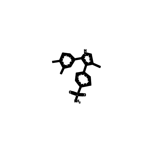 Cc1ccc(-c2[nH]cc(C)c2-c2ccc(S(N)(=O)=O)cc2)cc1C